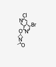 CC(=O)N1CC(Oc2ncc(Br)c3cc(Cl)ncc23)C1